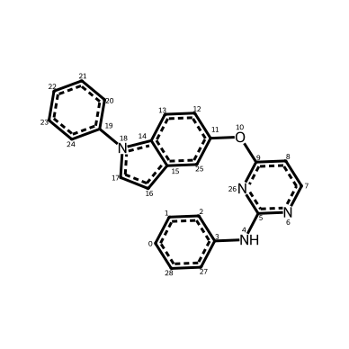 c1ccc(Nc2nccc(Oc3ccc4c(ccn4-c4ccccc4)c3)n2)cc1